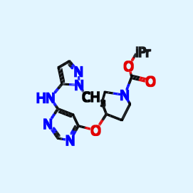 CC(C)OC(=O)N1CCC(Oc2cc(Nc3ccnn3C)ncn2)CC1